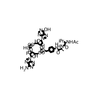 CC(=O)N[C@H](C(=O)N[C@@H](C)C(=O)Nc1ccc(CSP2(=O)OC[C@H]3O[C@@H](n4cnc5c(N)ncnc54)[C@H](F)[C@@H]3OP(=O)(O)OC[C@H]3O[C@@H](n4cnc5c(O)ncnc54)C[C@@H]3O2)cc1)C(C)C